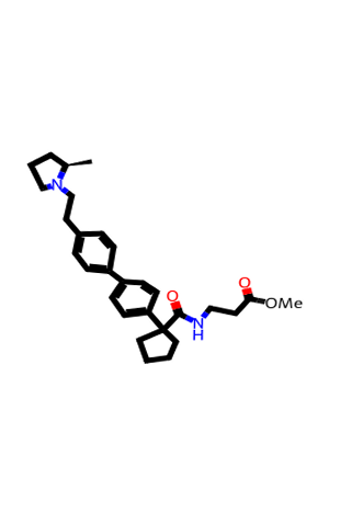 COC(=O)CCNC(=O)C1(c2ccc(-c3ccc(CCN4CCC[C@H]4C)cc3)cc2)CCCC1